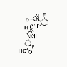 O=C(O)c1ccc(N2C[C@@H]3C[C@H]2C[C@H]3OCc2c(C3CC3)cnn2-c2c(F)cccc2F)cc1F